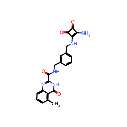 Cc1cccc2nc(C(=O)NCc3cccc(CNc4c(N)c(=O)c4=O)c3)[nH]c(=O)c12